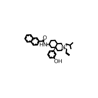 C=CC[N@@+]1(CC(C)C)CC[C@]2(c3cccc(O)c3)C[C@@H](NC(=O)c3ccc4ccccc4c3)CCC2C1